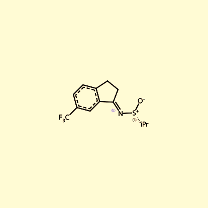 CC(C)[S@@+]([O-])/N=C1\CCc2ccc(C(F)(F)F)cc21